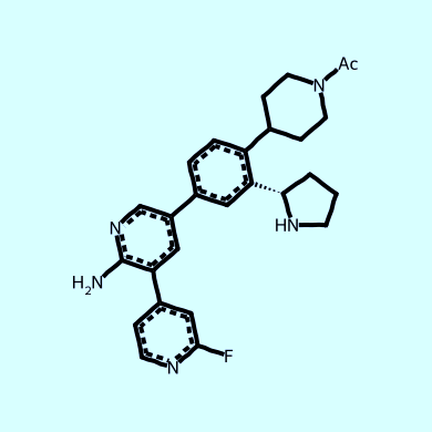 CC(=O)N1CCC(c2ccc(-c3cnc(N)c(-c4ccnc(F)c4)c3)cc2[C@@H]2CCCN2)CC1